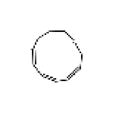 [C]1=C/C=C\C=C/CCCCC\1